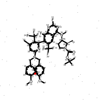 COc1ccc(CN(Cc2ccc(OC)cc2)c2cc(C)c(C(F)(F)F)c(-c3c(C(F)(F)F)cc4c(N(C)[C@@H]5CCN(C(=O)OC(C)(C)C)[C@@H]5C)nc(F)nc4c3F)n2)cc1